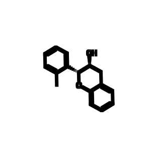 Cc1ccccc1[C@H]1Oc2ccccc2C[C@@H]1O